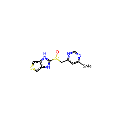 CSc1cc(C[S+]([O-])c2nc3cscc3[nH]2)ncn1